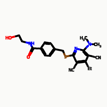 CCc1c(C#N)c(SCc2ccc(C(=O)NCCO)cc2)nc(N(C)C)c1C#N